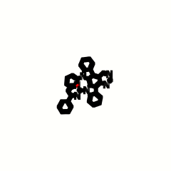 c1ccc(-c2ccnc(-n3c4ccccc4c4c5ncncc5c5c6ccccc6n(-c6ccccc6)c5c43)n2)cc1